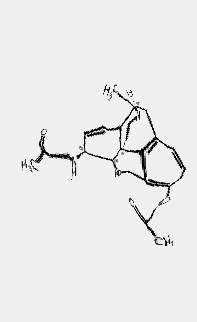 CC(=O)N[C@H]1C=CC2[C@H]3Cc4ccc(OC(C)=O)c5c4[C@@]2(CCN3C)[C@H]1O5